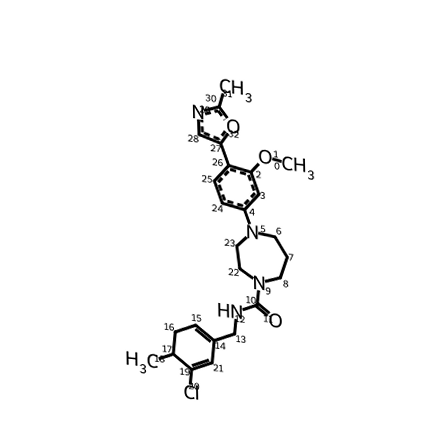 COc1cc(N2CCCN(C(=O)NCC3=CCC(C)C(Cl)=C3)CC2)ccc1-c1cnc(C)o1